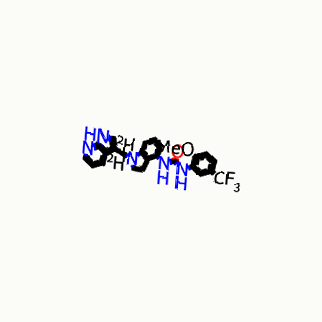 [2H]C([2H])(c1c[nH]c2ncccc12)N1CCc2c(NC(=O)Nc3cc(C(F)(F)F)ccc3OC)cccc21